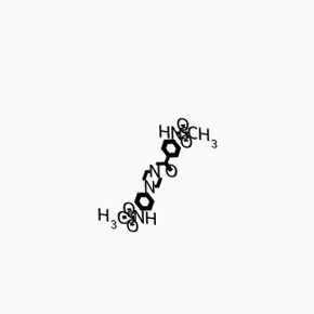 CS(=O)(=O)Nc1ccc(C(=O)CN2CCN(c3ccc(NS(C)(=O)=O)cc3)CC2)cc1